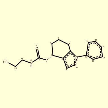 O=C(C[C@@H]1CCCc2c1cnn2-c1ccccc1)NCCO